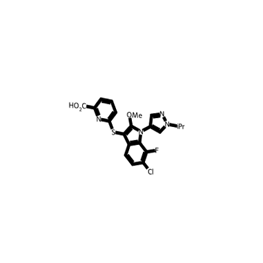 COc1c(Sc2cccc(C(=O)O)n2)c2ccc(Cl)c(F)c2n1-c1cnn(C(C)C)c1